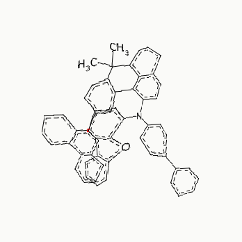 CC1(C)c2ccc(-c3cc4ccccc4c4ccccc34)cc2-c2c(N(c3ccc(-c4ccccc4)cc3)c3cccc4c3oc3ccccc34)ccc3cccc1c23